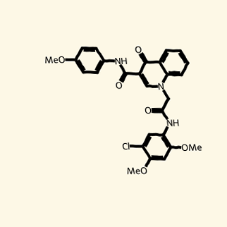 COc1ccc(NC(=O)c2cn(CC(=O)Nc3cc(Cl)c(OC)cc3OC)c3ccccc3c2=O)cc1